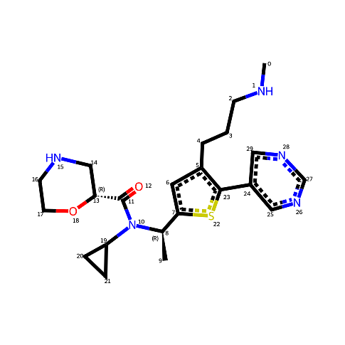 CNCCCc1cc([C@@H](C)N(C(=O)[C@H]2CNCCO2)C2CC2)sc1-c1cncnc1